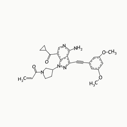 C=CC(=O)N1CCC(n2nc(C#Cc3cc(OC)cc(OC)c3)c3c(N)ncc(C(=O)C4CC4)c32)C1